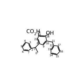 CC(c1ccccc1)c1cc(Cc2ccccc2)c(O)c(C(=O)O)c1